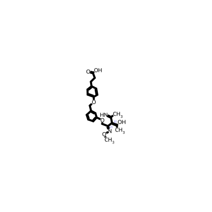 CO/N=C(COc1cccc(COc2ccc(CCC(=O)O)cc2)c1)/C(C(C)=N)=C(\C)O